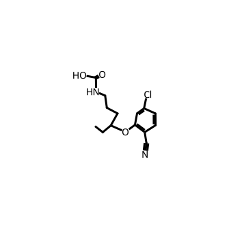 CCC(CCCNC(=O)O)Oc1cc(Cl)ccc1C#N